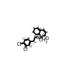 CN1C(=O)C=CC2=CCCCC21NCCc1ccc(Cl)c(Cl)c1